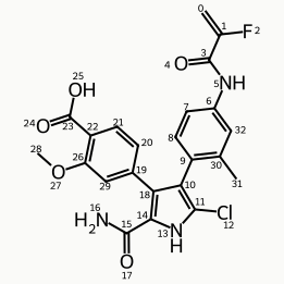 C=C(F)C(=O)Nc1ccc(-c2c(Cl)[nH]c(C(N)=O)c2-c2ccc(C(=O)O)c(OC)c2)c(C)c1